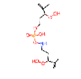 C=C(C)C(CCNOP(=O)(O)OCCC(OO)C(=C)C)OO